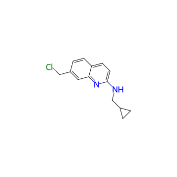 ClCc1ccc2ccc(NCC3CC3)nc2c1